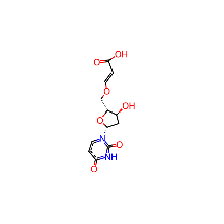 O=C(O)C=COC[C@H]1O[C@@H](n2ccc(=O)[nH]c2=O)C[C@@H]1O